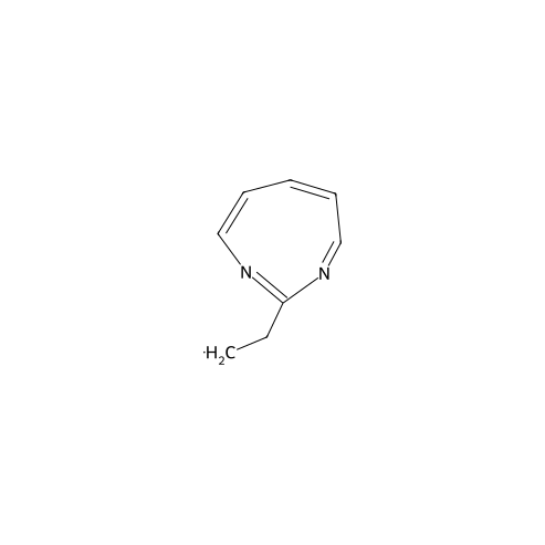 [CH2]CC1=NC=CC=CC=N1